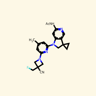 CC(=O)Nc1cc2c(cn1)C1(CC1)CN2c1cc(C)cc(N2CC(C#N)(CF)C2)n1